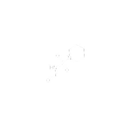 O=[C]NS(=O)(=O)N1CCCCC1